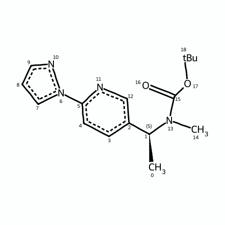 C[C@@H](c1ccc(-n2cccn2)nc1)N(C)C(=O)OC(C)(C)C